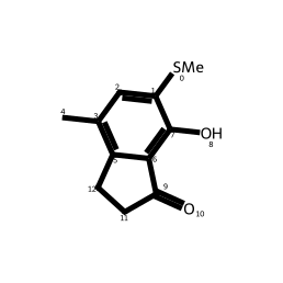 CSc1cc(C)c2c(c1O)C(=O)CC2